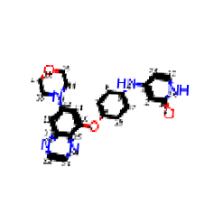 O=c1cc(N[C@H]2CC[C@@H](Oc3cc(N4CCOCC4)cc4nccnc34)CC2)cc[nH]1